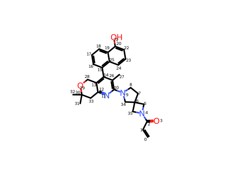 C=CC(=O)N1CC2(CCN(c3nc4c(c(-c5cccc6c(O)cccc56)c3C)COC(C)(C)C4)C2)C1